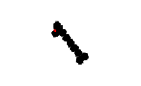 c1ccc(-n2c(-c3ccc(-c4ccc(-c5ccc(-c6ccc(-c7ccc(-n8c9ccccc9c9ccccc98)cc7)cc6)cc5)cc4)cc3)nc3ccccc32)cc1